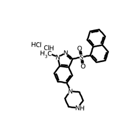 Cl.Cl.Cn1nc(S(=O)(=O)c2cccc3ccccc23)c2cc(N3CCNCC3)ccc21